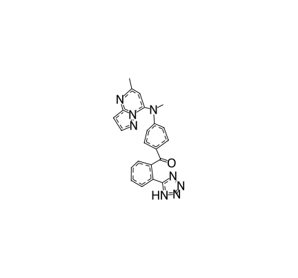 Cc1cc(N(C)c2ccc(C(=O)c3ccccc3-c3nnn[nH]3)cc2)n2nccc2n1